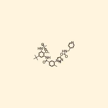 COc1c(NC(=O)c2ccc(C)c(-n3cc(OC(=O)NCc4ccncc4)nn3)c2)cc(C(C)(C)C)cc1NS(C)(=O)=O